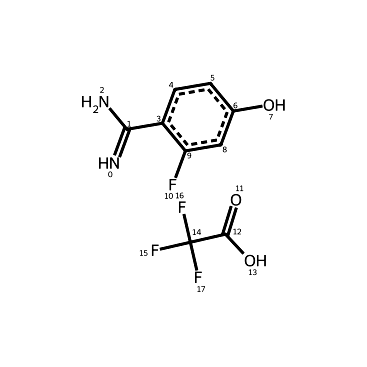 N=C(N)c1ccc(O)cc1F.O=C(O)C(F)(F)F